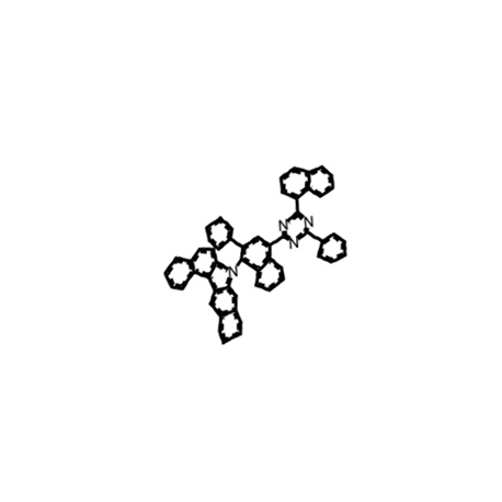 c1ccc(-c2nc(-c3cccc4ccccc34)nc(-c3cc(-c4ccccc4)c(-n4c5cc6ccccc6cc5c5c6ccccc6ccc54)c4ccccc34)n2)cc1